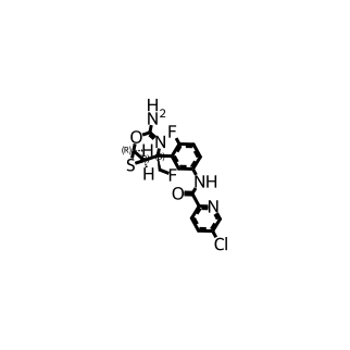 NC1=N[C@](CF)(c2cc(NC(=O)c3ccc(Cl)cn3)ccc2F)[C@H]2S[C@H]2O1